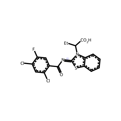 CCC(C(=O)O)n1/c(=N/C(=O)c2cc(F)c(Cl)cc2Cl)sc2ccccc21